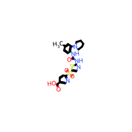 Cc1ccc(NC(=O)Nc2ncc(S(=O)(=O)c3ccc(C(=O)O)cn3)s2)c(N2CCCCC2)c1